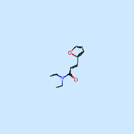 CCN(CC)C(=O)C=Cc1ccco1